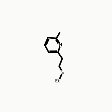 CCSCCc1cccc(C)n1